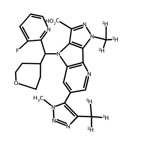 [2H]C([2H])([2H])c1nnn(C)c1-c1cnc2c3c(c(C(=O)O)nn3C([2H])([2H])[2H])n(C(c3ncccc3F)C3CCOCC3)c2c1